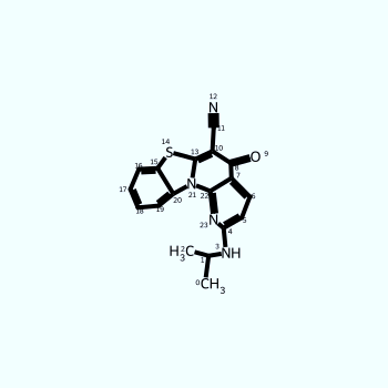 CC(C)Nc1ccc2c(=O)c(C#N)c3sc4ccccc4n3c2n1